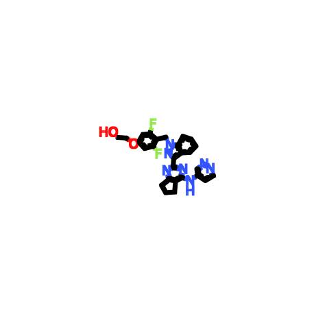 OCCOc1cc(F)c(Cn2nc(-c3nc4c(c(Nc5ccnnc5)n3)CCC4)c3ccccc32)c(F)c1